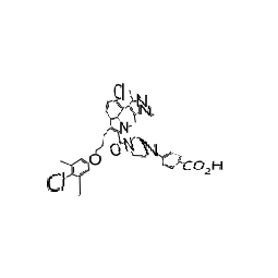 Cc1cc(OCCCc2c(C(=O)N3CCN(c4ccc(C(=O)O)cc4)CC3)n(C)c3c(-c4c(C)nn(C)c4C)c(Cl)ccc23)cc(C)c1Cl